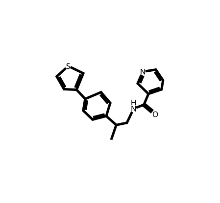 CC(CNC(=O)c1cccnc1)c1ccc(-c2ccsc2)cc1